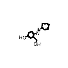 OCc1cc(O)ccc1N=Nc1ccccc1